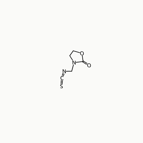 O=C1OCCN1CN=C=S